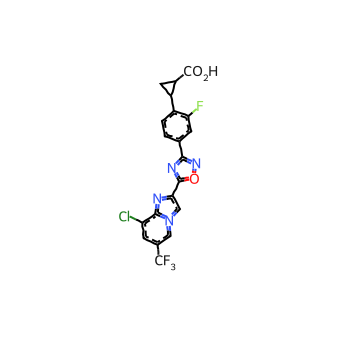 O=C(O)C1CC1c1ccc(-c2noc(-c3cn4cc(C(F)(F)F)cc(Cl)c4n3)n2)cc1F